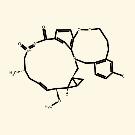 CO[C@H]1/C=C/C[C@H](C)C/[SH](=O)=N\C(=O)c2ccc3c(c2)N(Cc2ccc(Cl)cc2CCCCO3)C[C@@]23CC2[C@@H]13